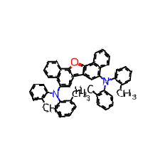 Cc1ccccc1N(c1ccccc1C)c1cc2c3cc(N(c4ccccc4C)c4ccccc4C)c4ccccc4c3oc2c2ccccc12